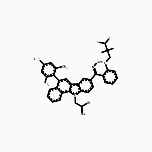 CCCCC(CC)Cn1c2ccc(C(=NOC(C)=O)c3ccccc3OCC(F)(F)C(F)F)cc2c2cc(-c3c(C)[c]c(C)cc3C)c3ccccc3c21